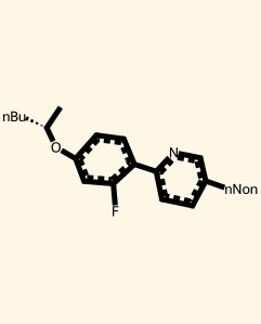 CCCCCCCCCc1ccc(-c2ccc(O[C@@H](C)CCCC)cc2F)nc1